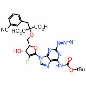 CC(C)(C)OC(=O)Nc1nc(N=[N+]=[N-])nc2c1ncn2C1=C(F)[C@H](O)[C@@H](COC(Cc2cccc(C#N)c2)(C(=O)O)C(=O)O)O1